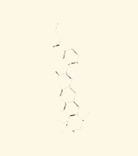 CCOC(=O)c1cccc(/C(C=O)=C/c2ccc3cc4c(cc3c2)C(C)(C)CCC4(C)C)c1